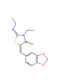 CCN=C1SC(=Cc2ccc3c(c2)OCO3)C(=O)N1CC